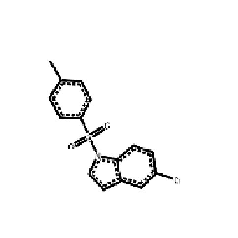 Cc1ccc(S(=O)(=O)n2ccc3cc(Cl)ccc32)cc1